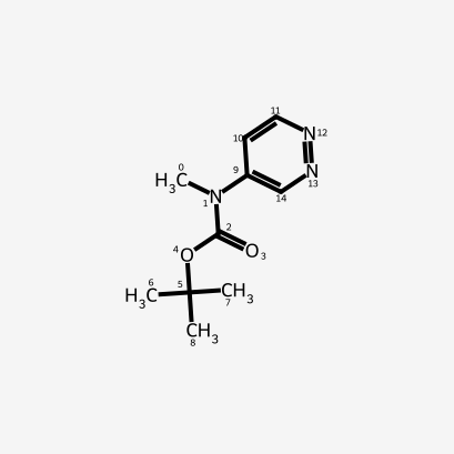 CN(C(=O)OC(C)(C)C)c1ccnnc1